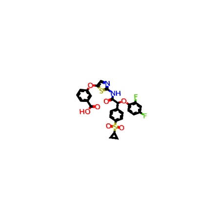 O=C(O)c1cccc(Oc2cnc(NC(=O)C(Oc3ccc(F)cc3F)c3ccc(S(=O)(=O)C4CC4)cc3)s2)c1